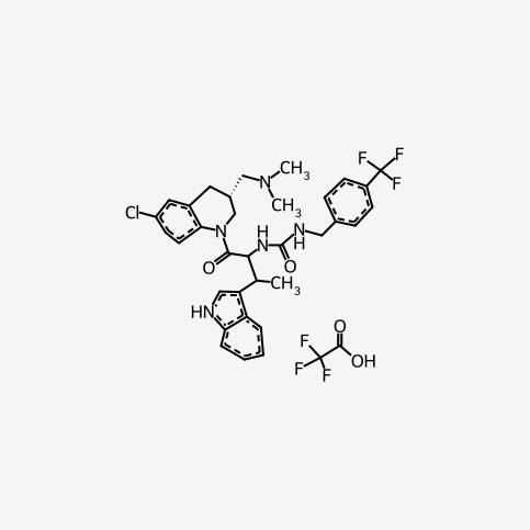 CC(c1c[nH]c2ccccc12)C(NC(=O)NCc1ccc(C(F)(F)F)cc1)C(=O)N1C[C@@H](CN(C)C)Cc2cc(Cl)ccc21.O=C(O)C(F)(F)F